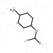 NC1CCC(OC(F)F)CC1